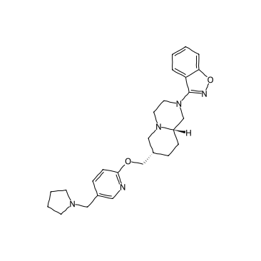 c1ccc2c(N3CCN4C[C@@H](COc5ccc(CN6CCCC6)cn5)CC[C@H]4C3)noc2c1